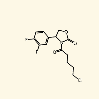 O=C(CCCCCl)N1C(=O)OCC1c1ccc(F)c(F)c1